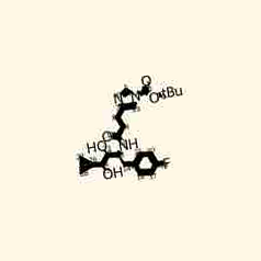 CC(C)(C)OC(=O)n1cnc(CCC(=O)N[C@@H](Cc2ccc(F)cc2)[C@@H](O)[C@@H](O)C2CC2)c1